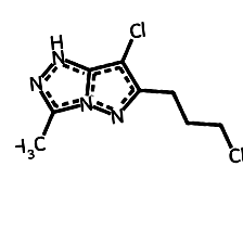 CCCCc1nn2c(C)n[nH]c2c1Cl